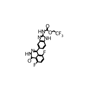 O=C(Nc1nc2cc(-c3n[nH]c(=O)c4c(F)ccc(F)c34)ccc2[nH]1)OCC(F)(F)F